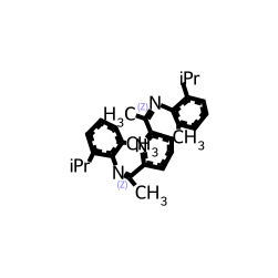 C/C(=N/c1c(C)cccc1C(C)C)c1cccc(/C(C)=N\c2c(C)cccc2C(C)C)n1